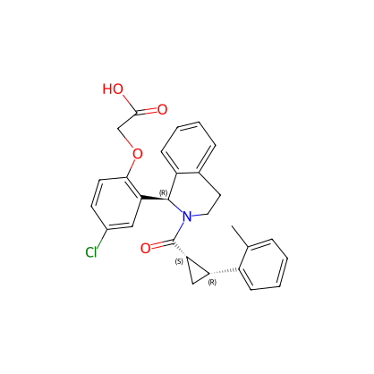 Cc1ccccc1[C@@H]1C[C@@H]1C(=O)N1CCc2ccccc2[C@@H]1c1cc(Cl)ccc1OCC(=O)O